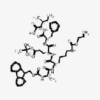 C=CCOC(=O)NCCCC[C@H](NC(=O)[C@H](C)NC(=O)OCC1c2ccccc2-c2ccccc21)C(=O)N[C@@H](CCC(=O)OC(C)(C)C)C(=O)N[C@@H](Cc1ccccc1)C(=O)N[C@H](C(=O)O)[C@@H](C)CC